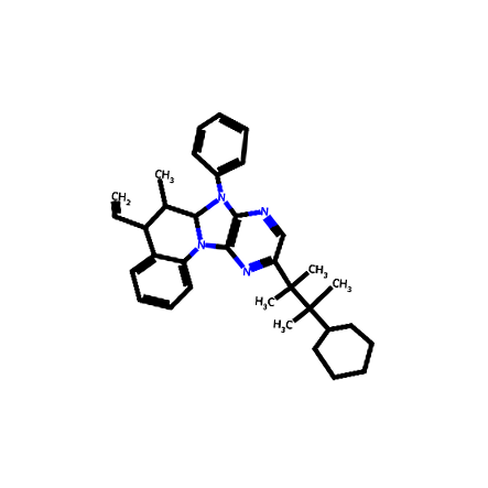 C=CC1c2ccccc2N2c3nc(C(C)(C)C(C)(C)C4CCCCC4)cnc3N(c3ccccc3)C2C1C